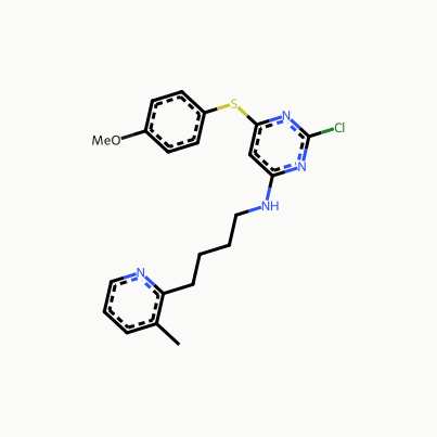 COc1ccc(Sc2cc(NCCCCc3ncccc3C)nc(Cl)n2)cc1